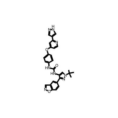 CC(C)(C)n1cc(NC(=O)Nc2ccc(Oc3ccnc(-c4cn[nH]c4)c3)cc2)c(-c2ccc3oncc3c2)n1